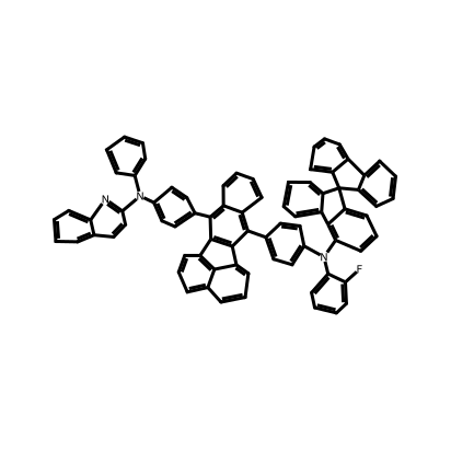 Fc1ccccc1N(c1ccc(-c2c3c(c(-c4ccc(N(c5ccccc5)c5ccc6ccccc6n5)cc4)c4ccccc24)-c2cccc4cccc-3c24)cc1)c1cccc2c1-c1ccccc1C21c2ccccc2-c2ccccc21